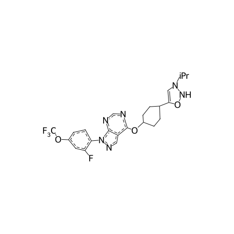 CC(C)N1C=C(C2CCC(Oc3ncnc4c3cnn4-c3ccc(OC(F)(F)F)cc3F)CC2)ON1